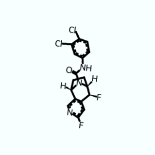 O=C(Nc1ccc(Cl)c(Cl)c1)N1[C@@H]2CC[C@H]1c1cnc(F)cc1[C@@H]2F